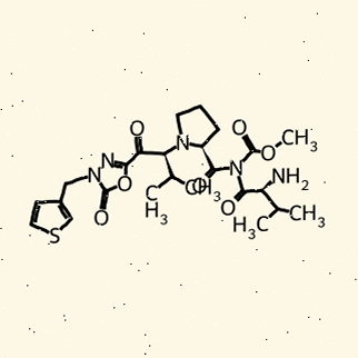 COC(=O)N(C(=O)[C@@H](N)C(C)C)C(=O)[C@@H]1CCCN1[C@H](C(=O)c1nn(Cc2ccsc2)c(=O)o1)C(C)C